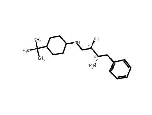 CC(C)(C)C1CCC(NC[C@@H](O)[C@@H](N)Cc2ccccc2)CC1